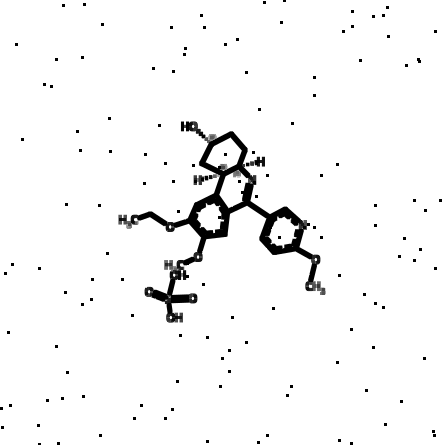 CCOc1cc2c(cc1OC)C(c1ccc(OC)nc1)=N[C@@H]1CC[C@@H](O)C[C@H]21.O=S(=O)(O)O